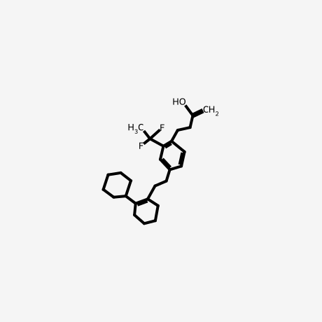 C=C(O)CCc1ccc(CCC2=C(C3CCCCC3)CCCC2)cc1C(C)(F)F